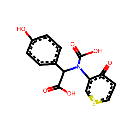 O=C(O)C(c1ccc(O)cc1)N(C(=O)O)c1csccc1=O